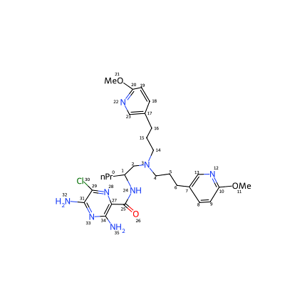 CCCC(CN(CCCc1ccc(OC)nc1)CCCc1ccc(OC)nc1)NC(=O)c1nc(Cl)c(N)nc1N